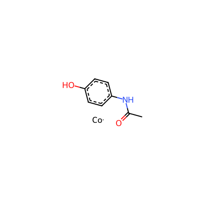 CC(=O)Nc1ccc(O)cc1.[Co]